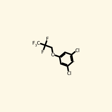 FC(F)(F)C(F)(F)COc1cc(Cl)[c]c(Cl)c1